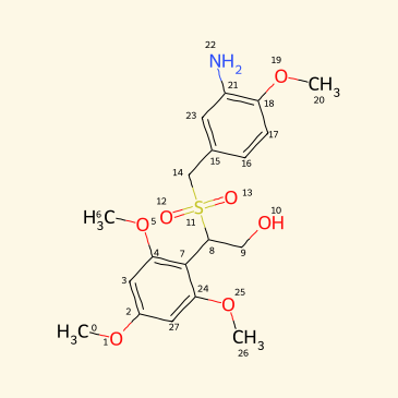 COc1cc(OC)c(C(CO)S(=O)(=O)Cc2ccc(OC)c(N)c2)c(OC)c1